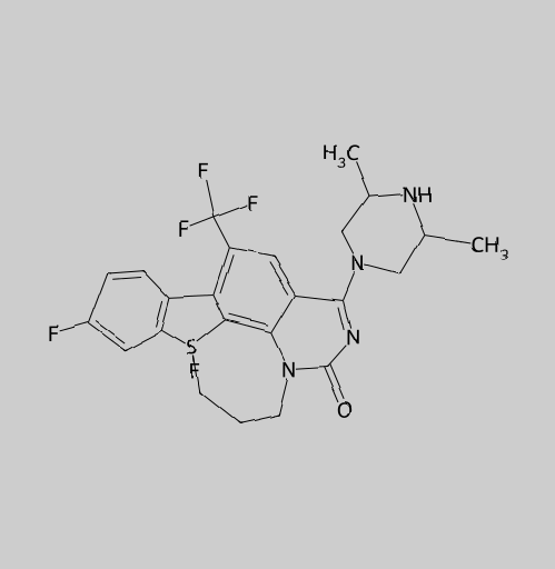 CC1CN(c2nc(=O)n3c4c5c(c(C(F)(F)F)cc24)-c2ccc(F)cc2S5(F)CCC3)CC(C)N1